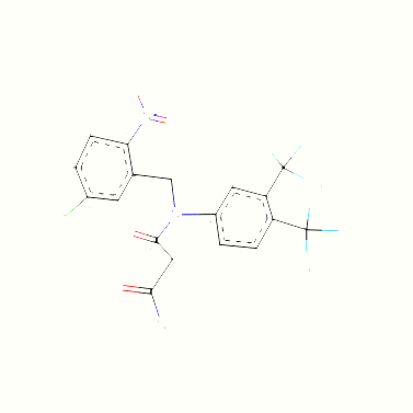 NC(=O)CC(=O)N(Cc1cc(Cl)ccc1[N+](=O)[O-])c1ccc(C(F)(F)F)c(C(F)(F)F)c1